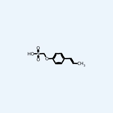 CC=Cc1ccc(OCS(=O)(=O)O)cc1